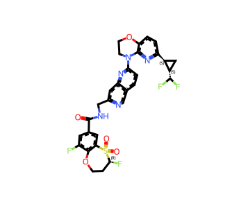 O=C(NCc1cc2nc(N3CCOc4ccc([C@H]5C[C@@H]5C(F)F)nc43)ccc2cn1)c1cc(F)c2c(c1)S(=O)(=O)[C@@H](F)CCO2